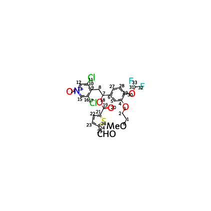 COCCOc1cc(C(Cc2c(Cl)c[n+]([O-])cc2Cl)OC(=O)c2ccc(C=O)s2)ccc1OC(F)F